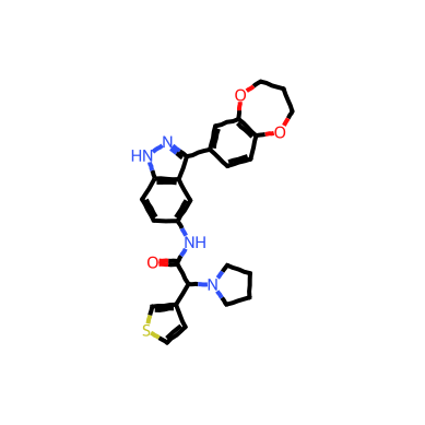 O=C(Nc1ccc2[nH]nc(-c3ccc4c(c3)OCCCO4)c2c1)C(c1ccsc1)N1CCCC1